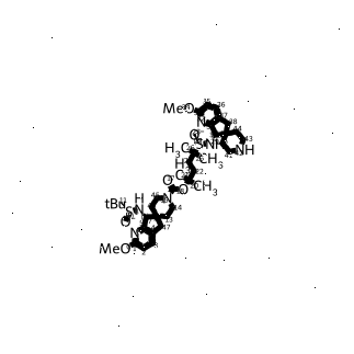 COc1ccc2c(n1)[C@@H](N[S@+]([O-])C(C)(C)C)C1(CCN(C(=O)OC(C)(C)CCC(C)(C)[S@@+]([O-])N[C@@H]3c4nc(OC)ccc4CC34CCNCC4)CC1)C2